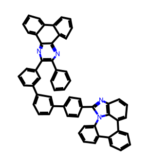 c1ccc(-c2nc3c4ccccc4c4ccccc4c3nc2-c2cccc(-c3cccc(-c4ccc(-c5nc6cccc7c6n5-c5ccccc5-c5ccccc5-7)cc4)c3)c2)cc1